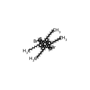 CCCCCCCCc1ccc(C2(c3ccc(CCCCCCCC)cc3)C3=Cc4c5c(sc4=C3C(c3ccc(CCCCCCCC)cc3)(c3ccc(CCCCCCCC)cc3)C3C=c4c(sc6c(Br)csc46)=C32)=C(Br)CS5)cc1